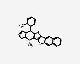 CC1C=CC=CC1[C@H]1c2sc3c(sc4cc5ccccc5cc43)c2[C@H](C)C2CC=CC21